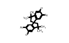 CC(=O)c1cc2c(cc1Cl)C(C)(C)CC21CC(C)(C)c2cc(Cl)c(C(C)=O)cc21